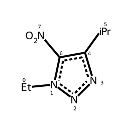 CCn1nnc(C(C)C)c1[N+](=O)[O-]